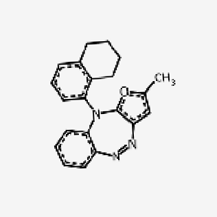 Cc1cc2c(o1)N(c1cccc3c1CCCC3)c1ccccc1N=N2